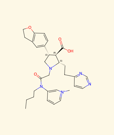 CCCCN(C(=O)CN1C[C@H](c2ccc3c(c2)CCO3)[C@@H](C(=O)O)[C@@H]1CCc1ccncn1)c1ccc[n+](C)c1